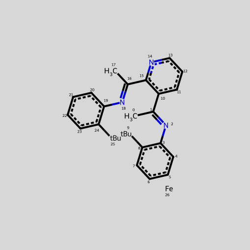 CC(=Nc1ccccc1C(C)(C)C)c1cccnc1C(C)=Nc1ccccc1C(C)(C)C.[Fe]